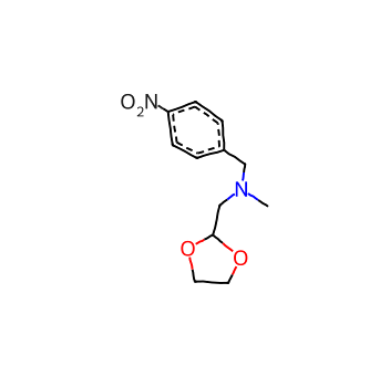 CN(Cc1ccc([N+](=O)[O-])cc1)CC1OCCO1